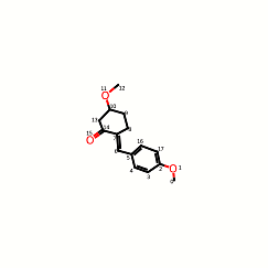 COc1ccc(C=C2CCC(OC)CC2=O)cc1